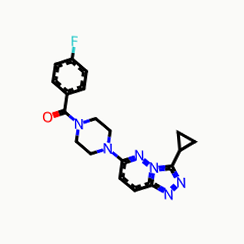 O=C(c1ccc(F)cc1)N1CCN(c2ccc3nnc(C4CC4)n3n2)CC1